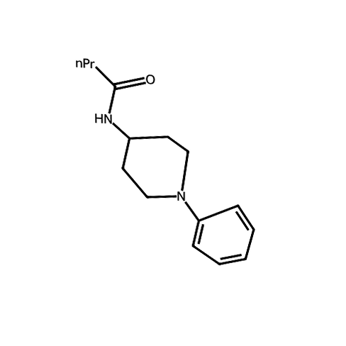 CCCC(=O)NC1CCN(c2ccccc2)CC1